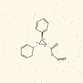 CCCCCCCOC(=O)[C@H]1[C@H](c2ccccc2)[C@H]1C1C=CC=CC1